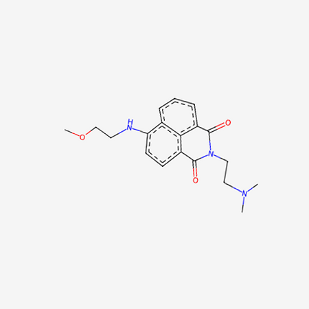 COCCNc1ccc2c3c(cccc13)C(=O)N(CCN(C)C)C2=O